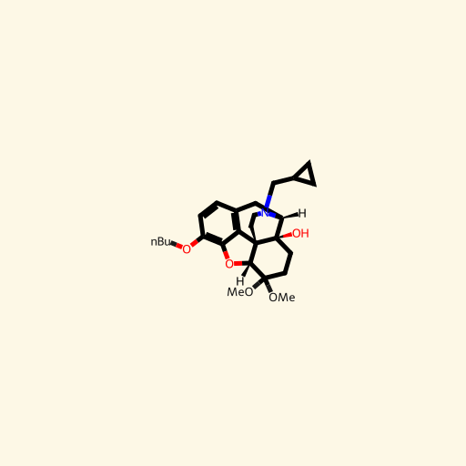 CCCCOc1ccc2c3c1O[C@H]1C(OC)(OC)CC[C@@]4(O)[C@@H](C2)N(CC2CC2)CC[C@]314